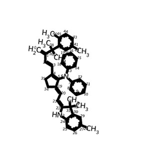 C=C(/C=C/C1=C(N(c2ccccc2)c2ccccc2)C(=C/C=C2/Nc3ccc(C)cc3C2(C)C)/CC1)C(C)(C)c1cc(C)ccc1C